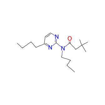 CCCCc1ccnc(N(CCCC)C(=O)CC(C)(C)C)n1